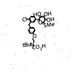 CS[C@H]1O[C@@H](c2ccc(Cl)c(Cc3ccc(OCCN(C(=O)O)C(C)(C)C)cc3)c2)[C@H](O)[C@@H](O)[C@@H]1O